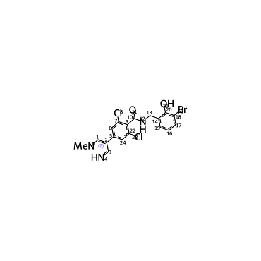 CN/C=C(\C=N)c1cc(Cl)c(C(=O)NCc2cccc(Br)c2O)c(Cl)c1